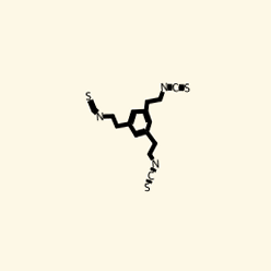 S=C=NCCc1cc(CCN=C=S)cc(CCN=C=S)c1